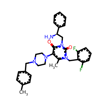 Cc1ccc(CN2CCN(c3c(C)n(Cc4c(F)cccc4F)c(=O)n(C[C@@H](N)c4ccccc4)c3=O)CC2)cc1